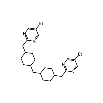 CCc1cnc(CC2CCC(CC3CCC(Cc4ncc(CC)cn4)CC3)CC2)nc1